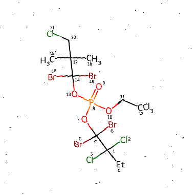 CCC(Cl)(Cl)C(Br)(Br)OP(=O)(OCC(Cl)(Cl)Cl)OC(Br)(Br)C(C)(C)CCl